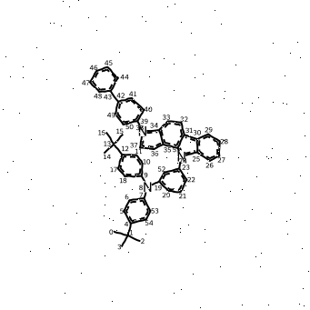 CC(C)(C)c1ccc(N(c2ccc(C(C)(C)C)cc2)c2cccc(-n3c4ccccc4c4ccc5c(ccn5-c5ccc(-c6ccccc6)cc5)c43)c2)cc1